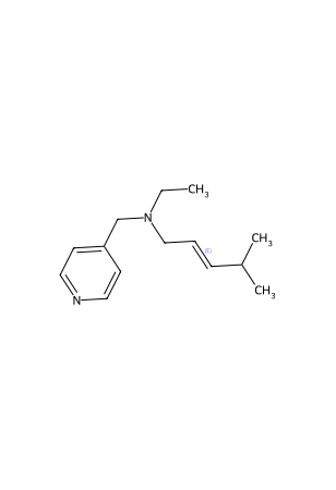 CCN(C/C=C/C(C)C)Cc1ccncc1